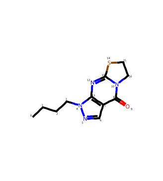 CCCCn1ncc2c(=O)n3c(nc21)SCC3